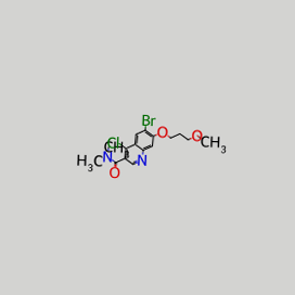 COCCCOc1cc2ncc(C(=O)N(C)C)c(Cl)c2cc1Br